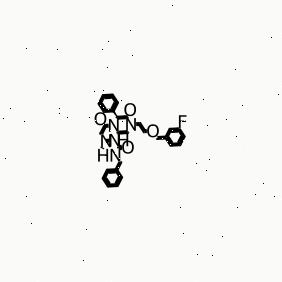 CN1CC(=O)N2[C@@H](c3ccccc3)C(=O)N(CCOCc3cccc(F)c3)C[C@@H]2N1C(=O)NCc1ccccc1